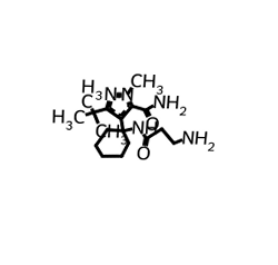 Cn1nc(C(C)(C)C)c(C2(NC(=O)CCN)CCCCC2)c1C(N)=O